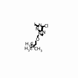 C[Si](C)(C)CCOCn1cnc2c(Cl)nc(I)nc21